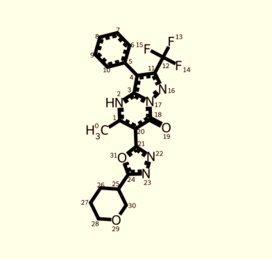 Cc1[nH]c2c(-c3ccccc3)c(C(F)(F)F)nn2c(=O)c1-c1nnc(C2CCCOC2)o1